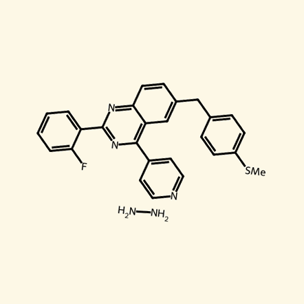 CSc1ccc(Cc2ccc3nc(-c4ccccc4F)nc(-c4ccncc4)c3c2)cc1.NN